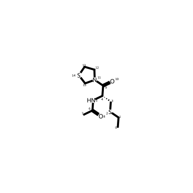 CCSC[C@H](NC(C)=O)C(=O)N1CCSC1